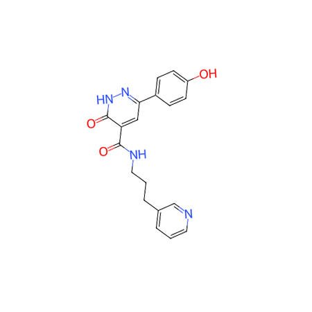 O=C(NCCCc1cccnc1)c1cc(-c2ccc(O)cc2)n[nH]c1=O